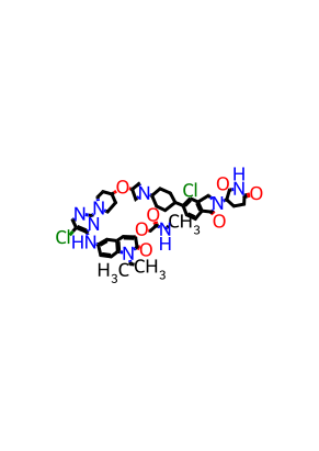 CNC(=O)COc1cc2cc(Nc3nc(N4CCC(OC5CN(C6CCC(c7ccc8c(c7Cl)CN(C7CCC(=O)NC7=O)C8=O)CC6)C5)CC4)ncc3Cl)ccc2n(C(C)C)c1=O